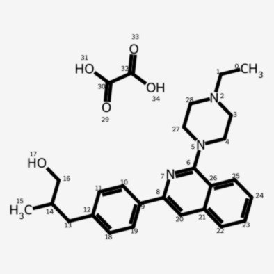 CCN1CCN(c2nc(-c3ccc(CC(C)CO)cc3)cc3ccccc23)CC1.O=C(O)C(=O)O